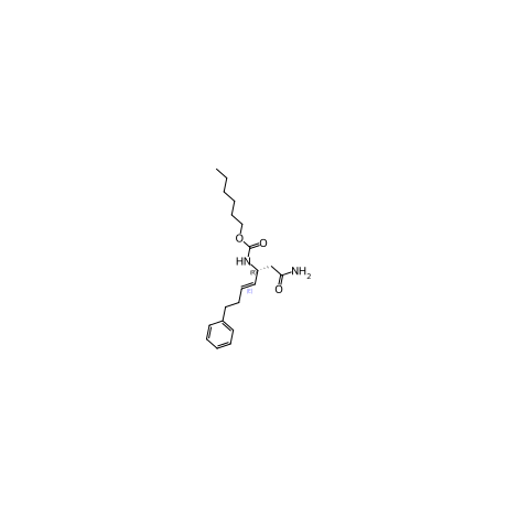 CCCCCCOC(=O)N[C@@H](/C=C/CCc1ccccc1)CC(N)=O